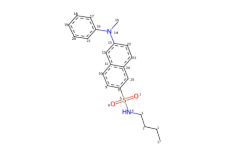 CCCCNS(=O)(=O)c1ccc2cc(N(C)c3ccccc3)ccc2c1